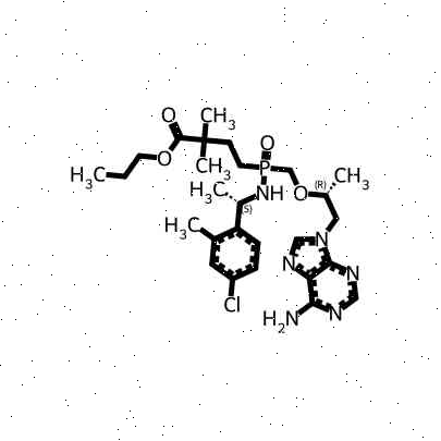 CCCOC(=O)C(C)(C)CCP(=O)(CO[C@H](C)Cn1cnc2c(N)ncnc21)N[C@@H](C)c1ccc(Cl)cc1C